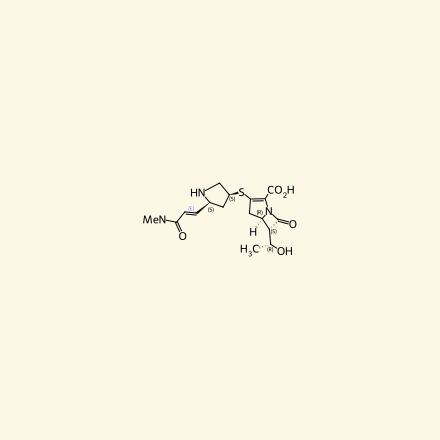 CNC(=O)/C=C/[C@@H]1C[C@H](SC2=C(C(=O)O)N3C(=O)[C@H]([C@@H](C)O)[C@H]3C2)CN1